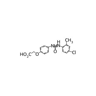 Cc1cc(Cl)ccc1NC(=O)Nc1ccc(OCC(=O)O)cc1